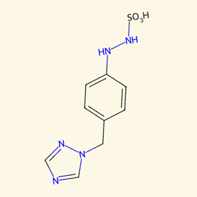 O=S(=O)(O)NNc1ccc(Cn2cncn2)cc1